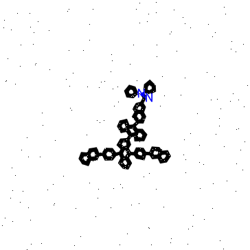 c1ccc(-n2c(-c3ccc4cc(-c5c6ccccc6c(-c6ccc7c(-c8ccc(-c9ccc%10ccccc%10c9)cc8)c8ccccc8c(-c8ccc(-c9ccc%10ccccc%10c9)cc8)c7c6)c6ccccc56)ccc4c3)nc3ccccc32)cc1